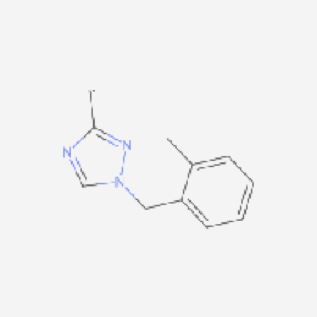 [CH2]c1ncn(Cc2ccccc2C)n1